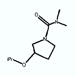 CC(C)OC1CCN(C(=O)N(C)C)C1